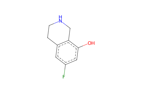 Oc1cc(F)cc2c1CNCC2